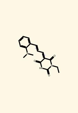 CCN1C(=O)NC(=O)/C(=C\C=C\c2ccccc2N(C)C)C1=O